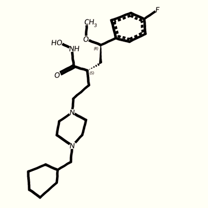 CO[C@H](C[C@H](CCN1CCN(CC2CCCCC2)CC1)C(=O)NO)c1ccc(F)cc1